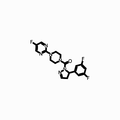 O=C(N1CCN(c2ncc(F)cn2)CC1)N1N=CCC1c1cc(F)cc(F)c1